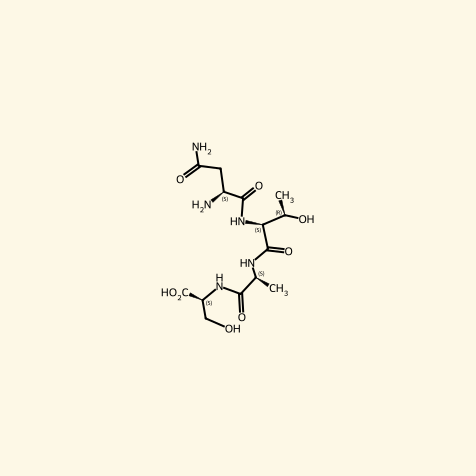 C[C@H](NC(=O)[C@@H](NC(=O)[C@@H](N)CC(N)=O)[C@@H](C)O)C(=O)N[C@@H](CO)C(=O)O